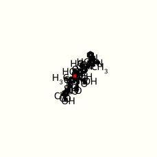 COc1cc(N=Nc2c(S(=O)(=O)O)cc3c(S(=O)(=O)O)c(N=Nc4c(C)c(C#N)c5nc6ccccc6n5c4O)ccc3c2O)c(N(CCCS(=O)(=O)O)CCCS(=O)(=O)O)cc1N=Nc1nc2cc(S(=O)(=O)O)c(Cl)cc2s1